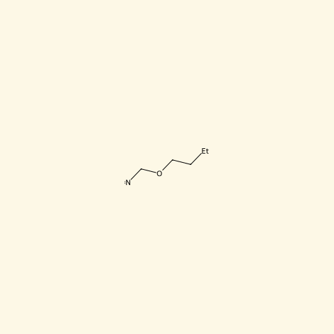 CCCCOC[N]